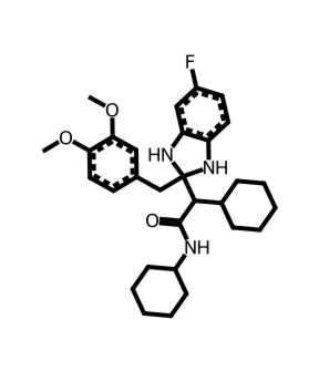 COc1ccc(CC2(C(C(=O)NC3CCCCC3)C3CCCCC3)Nc3ccc(F)cc3N2)cc1OC